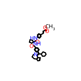 COC(=O)/C=C/c1ccc(NC(=O)C2(NC(=O)c3ccc4c(C5CCCCC5)c5n(c4c3)CCCC3=C5C=CC3)CCCC2)cc1